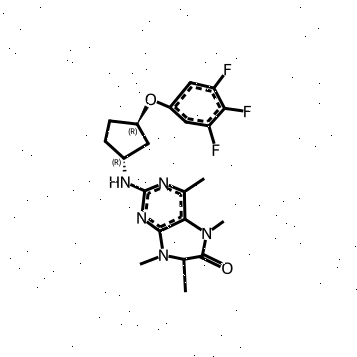 Cc1nc(N[C@@H]2CC[C@@H](Oc3cc(F)c(F)c(F)c3)C2)nc2c1N(C)C(=O)C(C)N2C